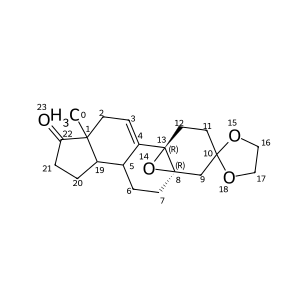 CC12CC=C3C(CC[C@@]45CC6(CC[C@@]34O5)OCCO6)C1CCC2=O